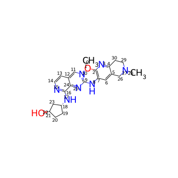 COc1nc2c(cc1Nc1ncc3ccnc(N[C@@H]4CC[C@@H](O)C4)c3n1)CN(C)CC2